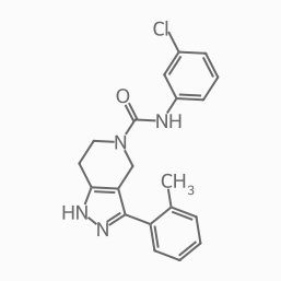 Cc1ccccc1-c1n[nH]c2c1CN(C(=O)Nc1cccc(Cl)c1)CC2